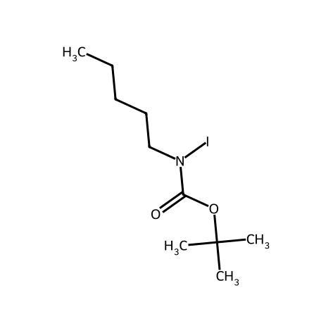 CCCCCN(I)C(=O)OC(C)(C)C